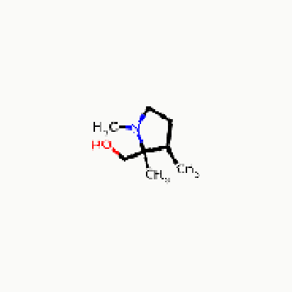 CC1CCN(C)C1(C)CO